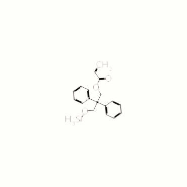 C=CC(=O)OCC(CO[SiH3])(c1ccccc1)c1ccccc1